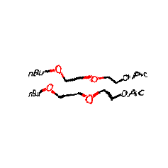 CCCCOCCOCCOC(C)=O.CCCCOCCOCCOC(C)=O